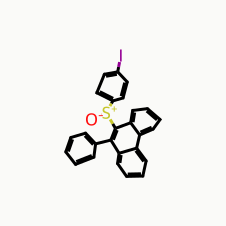 [O-][S+](c1ccc(I)cc1)c1c(-c2ccccc2)c2ccccc2c2ccccc12